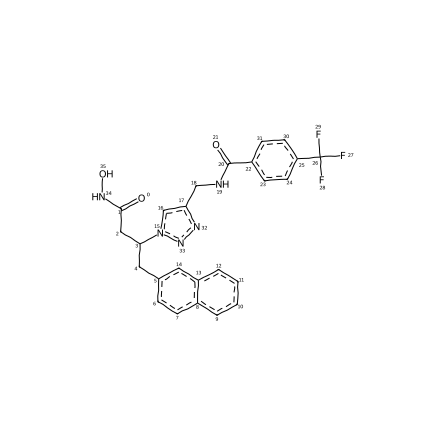 O=C(CC(Cc1ccc2ccccc2c1)n1cc(CNC(=O)c2ccc(C(F)(F)F)cc2)nn1)NO